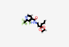 CCCC1(CCNC(=O)c2ccnc(C(F)(F)F)c2F)OCCO1